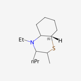 CCCC1C(C)S[C@H]2CCCCC2N1CC